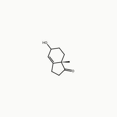 C[C@]12CCC(O)C=C1CCC2=O